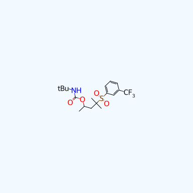 CC(CC(C)(C)S(=O)(=O)c1cccc(C(F)(F)F)c1)OC(=O)NC(C)(C)C